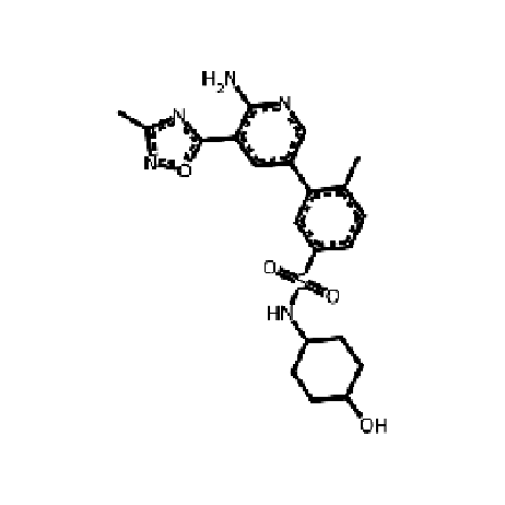 Cc1noc(-c2cc(-c3cc(S(=O)(=O)NC4CCC(O)CC4)ccc3C)cnc2N)n1